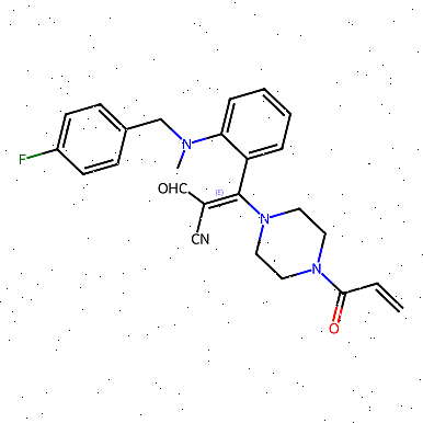 C=CC(=O)N1CCN(/C(=C(\C#N)C=O)c2ccccc2N(C)Cc2ccc(F)cc2)CC1